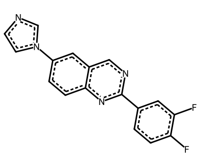 Fc1ccc(-c2ncc3cc(-n4ccnc4)ccc3n2)cc1F